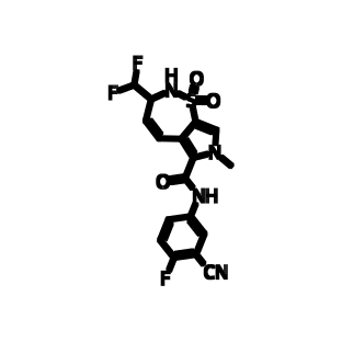 Cn1cc2c(c1C(=O)Nc1ccc(F)c(C#N)c1)C=CC(C(F)F)NS2(=O)=O